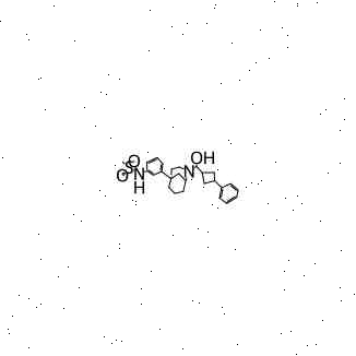 CS(=O)(=O)Nc1cccc(C23CCCC(C2)N(C(O)C2CC(c4ccccc4)C2)CC3)c1